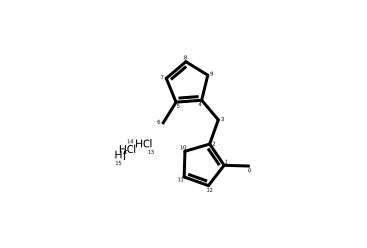 CC1=C(CC2=C(C)C=CC2)CC=C1.Cl.Cl.[Hf]